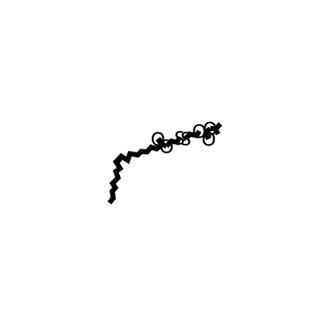 CCCCCCCC/C=C\CCCCCCCC(=O)OCCSSCCOC(=O)OC(C)C